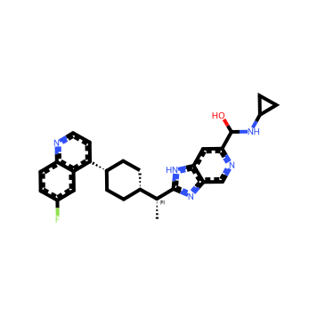 C[C@@H](c1nc2cnc(C(O)NC3CC3)cc2[nH]1)[C@H]1CC[C@@H](c2ccnc3ccc(F)cc32)CC1